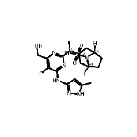 CCS(=O)(=O)N1[C@@H]2CC[C@H]1C[C@H](N(C)c1nc(CO)c(F)c(Nc3cc(C)[nH]n3)n1)C2